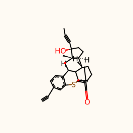 C#Cc1ccc2c(c1)S[C@]13CCC(=O)C=C1CC[C@@H]1C3[C@@H]2C[C@@]2(C)[C@H]1CC[C@@]2(O)C#CC